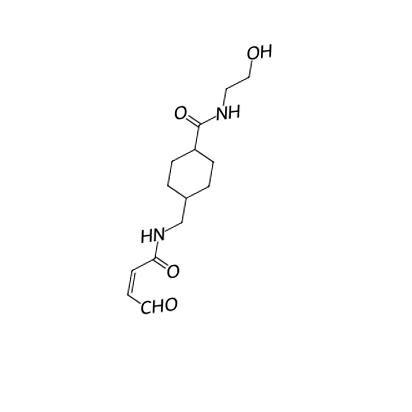 O=C/C=C\C(=O)NCC1CCC(C(=O)NCCO)CC1